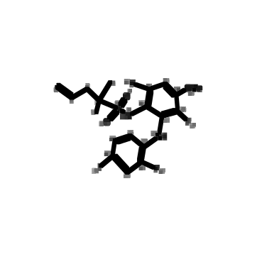 C=CCC(C)(C)S(=O)(=O)Nc1c(F)cc(OC)c(F)c1Nc1ccc(I)cc1F